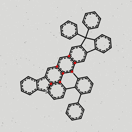 c1ccc(-c2ccccc2-c2c(-c3ccccc3)cccc2N(c2ccc3c(c2)-c2ccccc2C3(c2ccccc2)c2ccccc2)c2ccc3c(c2)sc2ccccc23)cc1